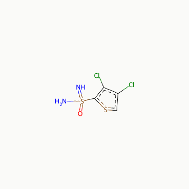 N=S(N)(=O)c1scc(Cl)c1Cl